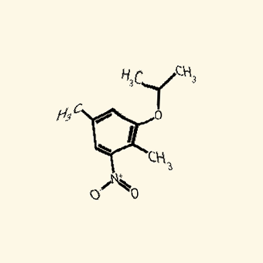 Cc1cc(OC(C)C)c(C)c([N+](=O)[O-])c1